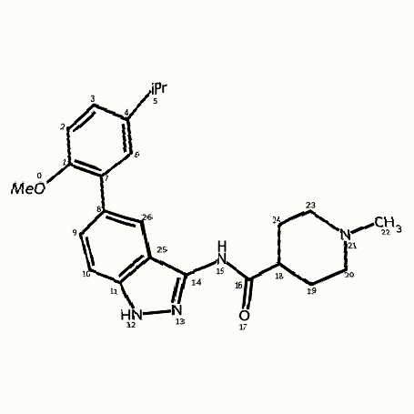 COc1ccc(C(C)C)cc1-c1ccc2[nH]nc(NC(=O)C3CCN(C)CC3)c2c1